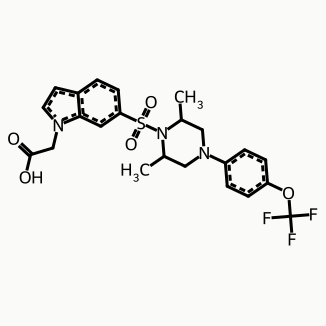 CC1CN(c2ccc(OC(F)(F)F)cc2)CC(C)N1S(=O)(=O)c1ccc2ccn(CC(=O)O)c2c1